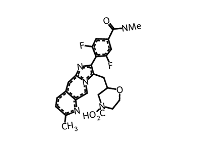 CNC(=O)c1cc(F)c(-c2nc3cc4ccc(C)nc4cn3c2CC2CN(C(=O)O)CCO2)c(F)c1